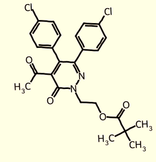 CC(=O)c1c(-c2ccc(Cl)cc2)c(-c2ccc(Cl)cc2)nn(CCOC(=O)C(C)(C)C)c1=O